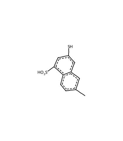 Cc1ccc2c(S(=O)(=O)O)cc(S)cc2c1